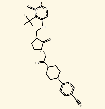 N#Cc1ccc(N2CCN(C(=O)C[C@@H]3CC[C@@H](CNc4cn[nH]c(=O)c4C(F)(F)F)C3=O)CC2)nc1